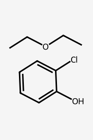 CCOCC.Oc1ccccc1Cl